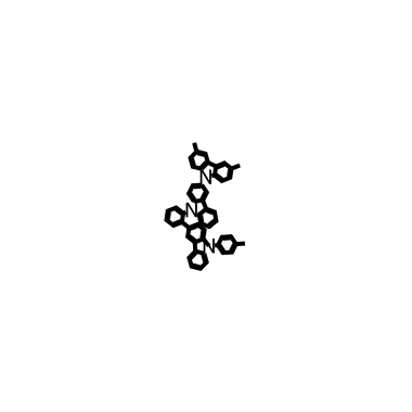 Cc1ccc(-n2c3ccccc3c3cc(-c4ccccc4-n4c5ccccc5c5cc(-n6c7ccc(C)cc7c7cc(C)ccc76)ccc54)ccc32)cc1